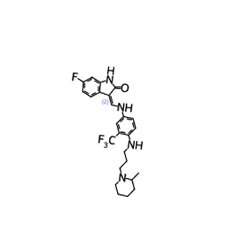 CC1CCCCN1CCCNc1ccc(N/C=C2\C(=O)Nc3cc(F)ccc32)cc1C(F)(F)F